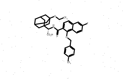 O=C(N[C@H](C(=O)O)C12CC3CC(CC(OCC(F)(F)F)(C3)C1)C2)c1ccc2cc(F)ccc2c1OCc1ccc(C(F)(F)F)cc1